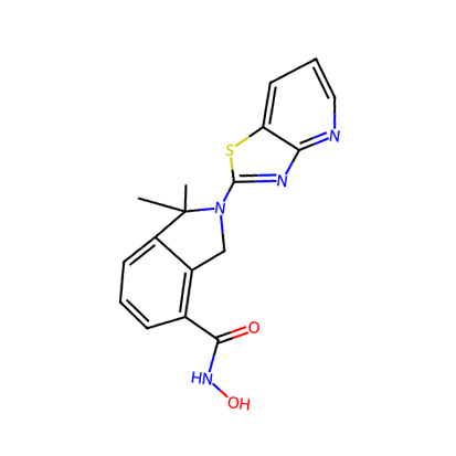 CC1(C)c2cccc(C(=O)NO)c2CN1c1nc2ncccc2s1